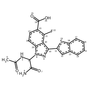 CC(=O)NC(C(N)=O)n1nc(-c2cc3ccccc3s2)c2c(F)c(C(=O)O)ccc21